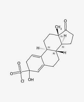 C[C@]12CC[C@@H]3C4=CCC(O)(S(=O)(=O)Cl)C=C4CC[C@H]3[C@@H]1CCC2=O